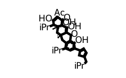 CC(=O)C1=C(O)C(C(C)C)[C@@]2(C)C[C@@]3(C)Cc4c(C(C)C)cc(C5=CC=C(CC(C)C)C5)c(O)c4C(=O)C3=C(O)[C@@]2(O)C1=O